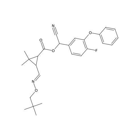 CC(C)(C)CON=CC1C(C(=O)OC(C#N)c2ccc(F)c(Oc3ccccc3)c2)C1(C)C